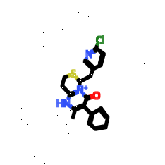 Cc1[nH]c2[n+](c(=O)c1-c1ccccc1)C(Cc1ccc(Cl)nc1)SCC2